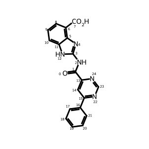 O=C(Nc1nc2c(C(=O)O)cccc2[nH]1)c1cc(-c2ccccc2)ncn1